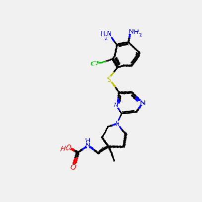 CC1(CNC(=O)O)CCN(c2cncc(Sc3ccc(N)c(N)c3Cl)n2)CC1